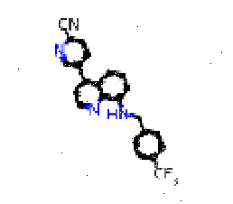 N#Cc1ccc(-c2ccnc3c(NCc4ccc(C(F)(F)F)cc4)cccc23)cn1